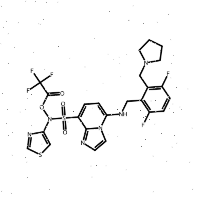 O=C(ON(c1cscn1)S(=O)(=O)c1ccc(NCc2c(F)ccc(F)c2CN2CCCC2)n2ccnc12)C(F)(F)F